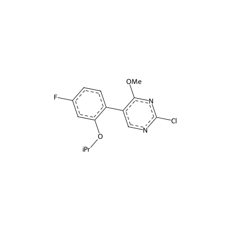 COc1nc(Cl)ncc1-c1ccc(F)cc1OC(C)C